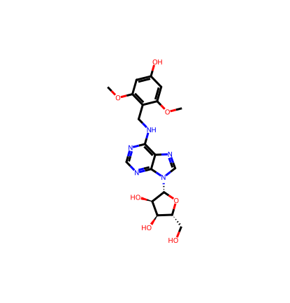 COc1cc(O)cc(OC)c1CNc1ncnc2c1ncn2[C@@H]1O[C@H](CO)[C@@H](O)[C@H]1O